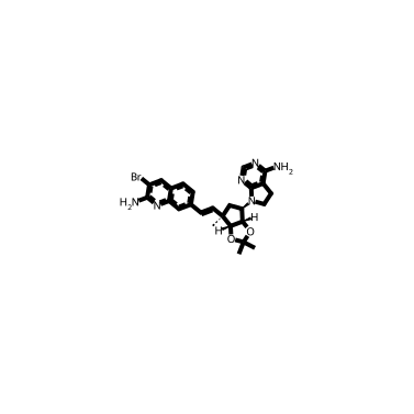 CC1(C)O[C@H]2[C@H](N3CCc4c(N)ncnc43)C[C@](C)(/C=C/c3ccc4cc(Br)c(N)nc4c3)[C@H]2O1